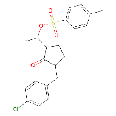 Cc1ccc(S(=O)(=O)OC(C)C2CCC(Cc3ccc(Cl)cc3)C2=O)cc1